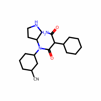 N#CC1CCCC(N(C(=O)C(C(N)=O)C2CCCCC2)C2CCNC2)C1